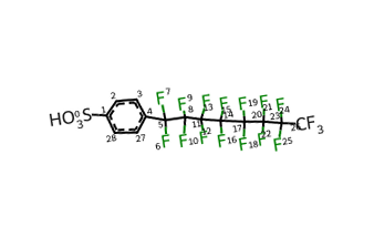 O=S(=O)(O)c1ccc(C(F)(F)C(F)(F)C(F)(F)C(F)(F)C(F)(F)C(F)(F)C(F)(F)C(F)(F)F)cc1